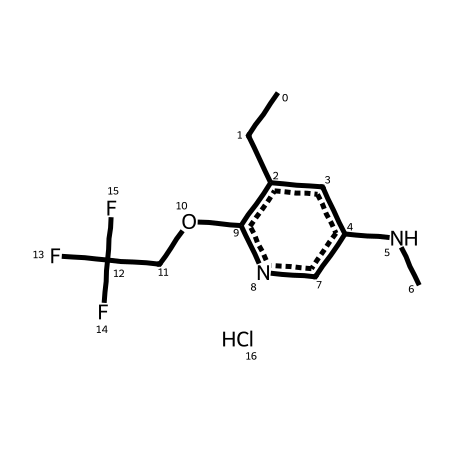 CCc1cc(NC)cnc1OCC(F)(F)F.Cl